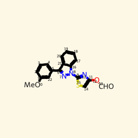 COc1cccc(-c2nn(-c3nc(OC=O)cs3)c3ccccc23)c1